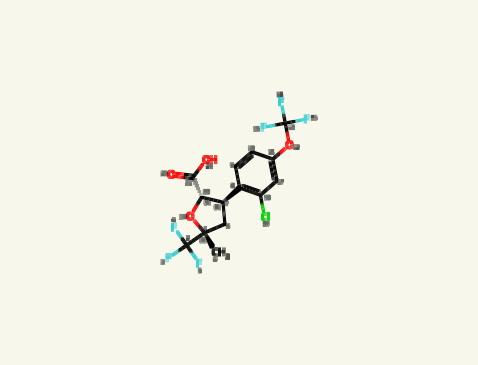 C[C@]1(C(F)(F)F)C[C@H](c2ccc(OC(F)(F)F)cc2Cl)[C@@H](C(=O)O)O1